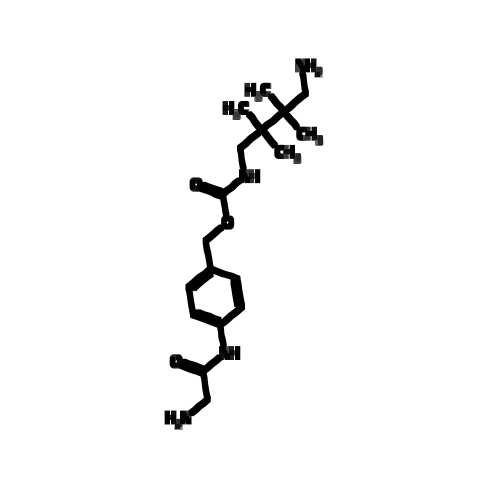 CC(C)(CN)C(C)(C)CNC(=O)OCc1ccc(NC(=O)CN)cc1